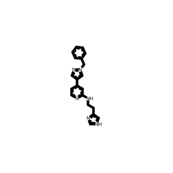 c1ccc(Cn2cc(-c3ccnc(NCCc4c[nH]cn4)c3)cn2)cc1